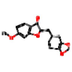 CC(C)Oc1ccc2c(c1)OC(=Cc1ccc3c(c1)OCO3)C2=O